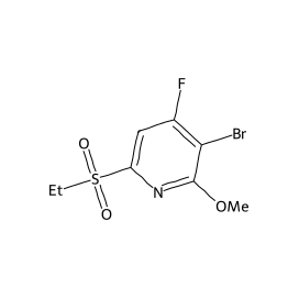 CCS(=O)(=O)c1cc(F)c(Br)c(OC)n1